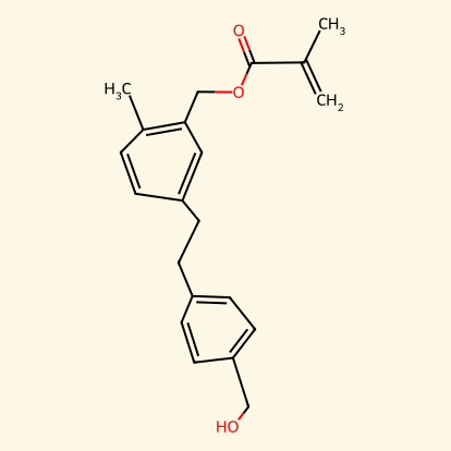 C=C(C)C(=O)OCc1cc(CCc2ccc(CO)cc2)ccc1C